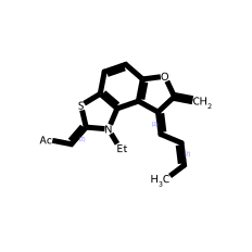 C=c1oc2ccc3c(c2/c1=C/C=C\C)N(CC)/C(=C/C(C)=O)S3